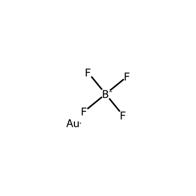 F[B-](F)(F)F.[Au]